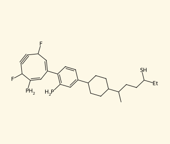 CCC(S)CCC(C)C1CCC(c2ccc(C3=C/C(F)C#CC(F)/C(P)=C\3)c(P)c2)CC1